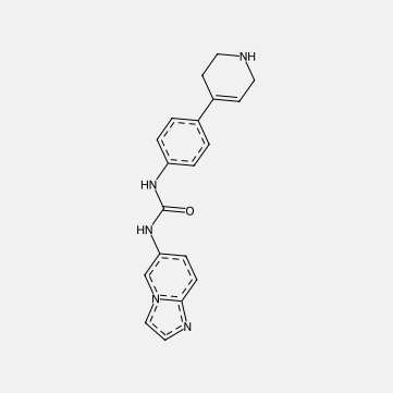 O=C(Nc1ccc(C2=CCNCC2)cc1)Nc1ccc2nccn2c1